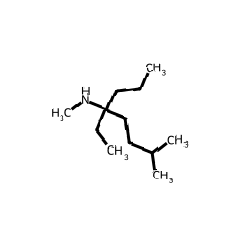 CCCC(CC)(CCC(C)C)NC